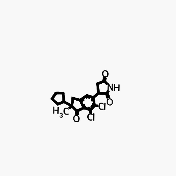 CC1(C2CCCC2)Cc2cc(C3CC(=O)NC3=O)c(Cl)c(Cl)c2C1=O